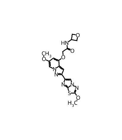 COc1cc(OCC(=O)NC2COC2)c2cc(-c3cn4nc(OC)sc4n3)nn2c1